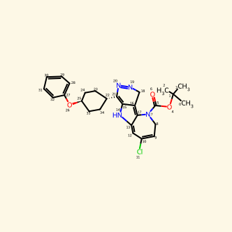 CC(C)(C)OC(=O)N1CC=C(Cl)C=c2[nH]c3c(c21)CN=NC=3[C@H]1CC[C@H](Oc2ccccc2)CC1